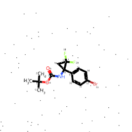 CC(C)(C)OC(=O)NC1(c2ccc(Br)cc2)CC1(F)F